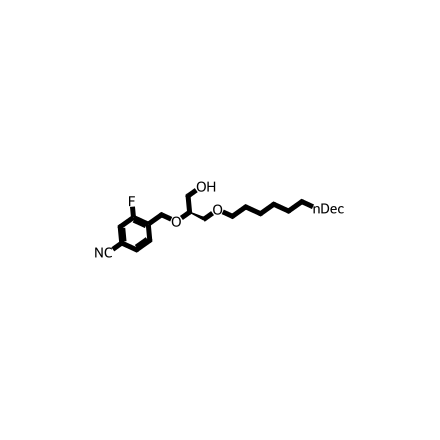 CCCCCCCCCCCCCCCCOC[C@H](CO)OCc1ccc(C#N)cc1F